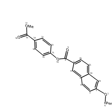 CCCCCOc1ccc2cc(C(=O)Oc3ccc(C(=O)OC)cc3)ccc2c1